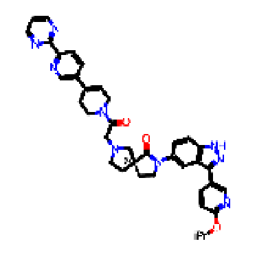 CC(C)Oc1ccc(-c2n[nH]c3ccc(N4CC[C@]5(CCN(CC(=O)N6CC=C(c7ccc(-c8ncccn8)nc7)CC6)C5)C4=O)cc23)cn1